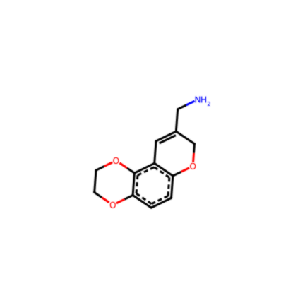 NCC1=Cc2c(ccc3c2OCCO3)OC1